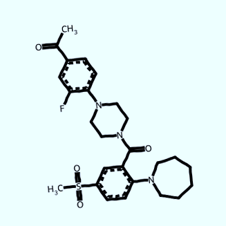 CC(=O)c1ccc(N2CCN(C(=O)c3cc(S(C)(=O)=O)ccc3N3CCCCCC3)CC2)c(F)c1